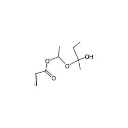 C=CC(=O)OC(C)OC(C)(O)CC